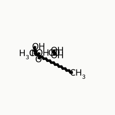 CCCCCCCCCCCCCCCCCC(=O)C(O)CN(C)CCO.O=S(=O)(O)O